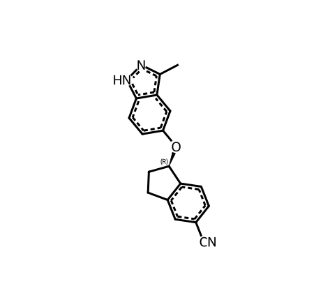 Cc1n[nH]c2ccc(O[C@@H]3CCc4cc(C#N)ccc43)cc12